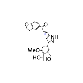 COc1cc(-c2cc(/C=C/C(=O)c3ccc4c(c3)CCO4)[nH]n2)cc(CO)c1CO